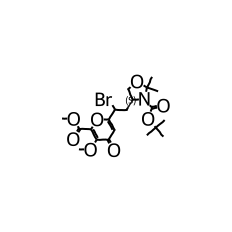 COC(=O)c1oc(C(Br)C[C@H]2COC(C)(C)N2C(=O)OC(C)(C)C)cc(=O)c1OC